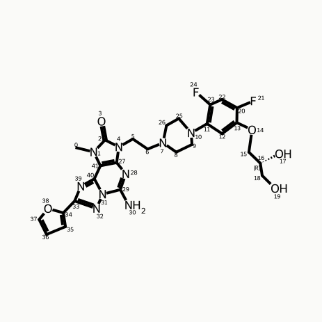 Cn1c(=O)n(CCN2CCN(c3cc(OC[C@H](O)CO)c(F)cc3F)CC2)c2nc(N)n3nc(-c4ccco4)nc3c21